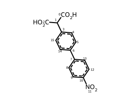 O=C(O)C(C(=O)O)c1ccc(-c2ccc([N+](=O)[O-])cc2)cc1